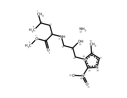 COC(=O)C(CC(C)C)NCC(O)Cn1c(C)cnc1[N+](=O)[O-].N